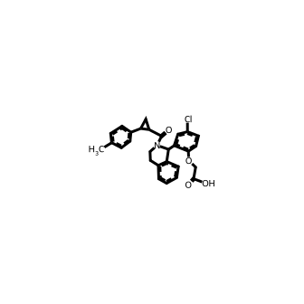 Cc1ccc(C2CC2C(=O)N2CCc3ccccc3C2c2cc(Cl)ccc2OCC(=O)O)cc1